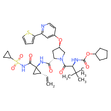 C=C[C@@H]1C[C@]1(NC(=O)[C@@H]1C[C@@H](Oc2ccnc(-c3cccs3)c2)CN1C(=O)[C@@H](NC(=O)OC1CCCC1)C(C)(C)C)C(=O)NS(=O)(=O)C1CC1